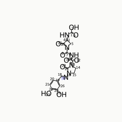 O=C(O)N[C@H]1CN(C(=O)NS(=O)(=O)N2CCN(/N=C/c3ccc(O)c(O)c3)C2=O)C1=O